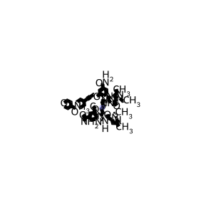 CCn1nc(C)cc1C(=O)Nc1nc2cc(C(N)=O)cc(OC)c2n1C/C=C/Cn1c(NC(=O)c2cc(C)nn2CC)nc2cc(C(N)=O)cc(OCC#CC3CCN(C(=O)C4CCOCC4)CC3)c21